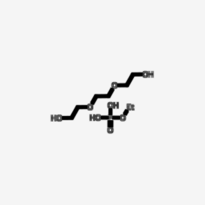 CCOP(=O)(O)O.OCCOCCOCCO